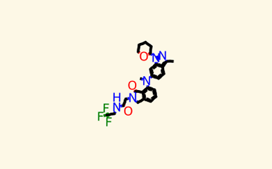 Cc1nn(C2CCCCO2)c2cc(N(C)c3cccc4c3C(=O)N(CC(=O)NCC(F)(F)F)C4)ccc12